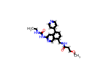 CCNC(=O)Nc1cc2c(-c3ccncc3)ccc(CNC(=O)CCOC)c2cn1